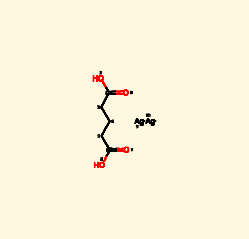 O=C(O)CCCC(=O)O.[Ag].[Ag]